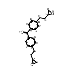 O=C(c1ccc(CCC2CO2)cc1)c1ccc(CCC2CO2)cc1